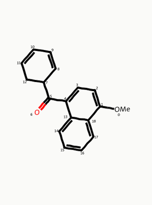 COc1ccc(C(=O)C2C=CC=CC2)c2ccccc12